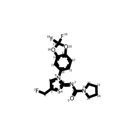 O=C(/N=c1\sc(CF)cn1-c1ccc2c(c1)OC(F)(F)O2)N1CCCC1